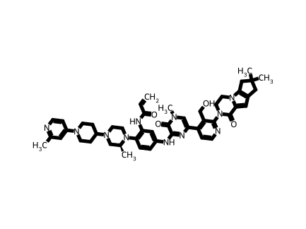 C=CC(=O)Nc1cc(Nc2nc(-c3ccnc(N4CCn5c(cc6c5CC(C)(C)C6)C4=O)c3CO)cn(C)c2=O)ccc1N1CCN(C2CCN(c3ccnc(C)c3)CC2)C[C@@H]1C